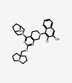 Oc1cc2ccccc2c(N2CCc3c(nc(OCC45CCCN4CCC5)nc3N3CC4CCC(C3)N4)C2)c1Cl